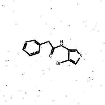 O=C(Cc1ccccc1)Nc1cscc1Br